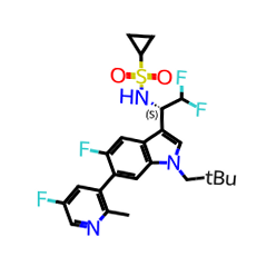 Cc1ncc(F)cc1-c1cc2c(cc1F)c([C@H](NS(=O)(=O)C1CC1)C(F)F)cn2CC(C)(C)C